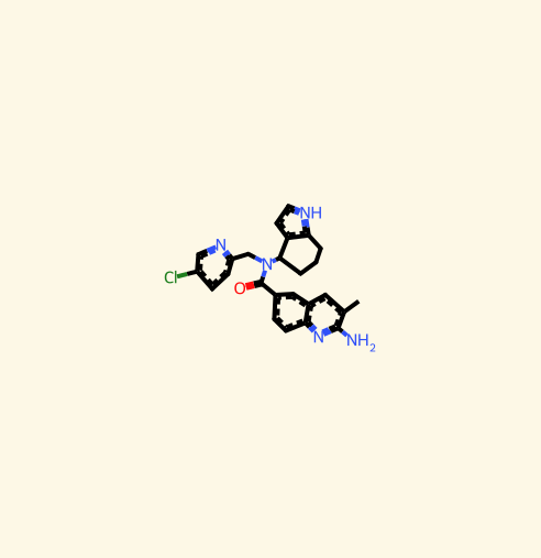 Cc1cc2cc(C(=O)N(Cc3ccc(Cl)cn3)C3CCCc4[nH]ccc43)ccc2nc1N